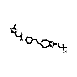 Cc1ncc(CC(=O)N[C@H]2CC[C@H](CCN3CCc4nc(OCC(C)(C)C#N)sc4CC3)CC2)s1